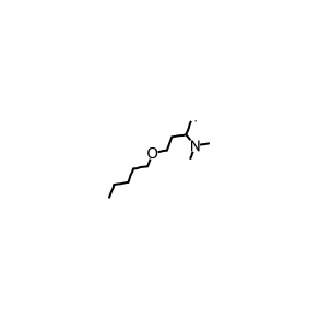 [CH2]C(CCOCCCCC)N(C)C